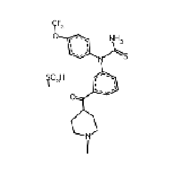 CN1CCC(C(=O)c2cccc(N(C(N)=S)c3ccc(OC(F)(F)F)cc3)c2)CC1.CS(=O)(=O)O